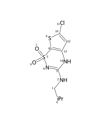 CC(C)CNC1=NS(=O)(=O)c2sc(Cl)cc2N1